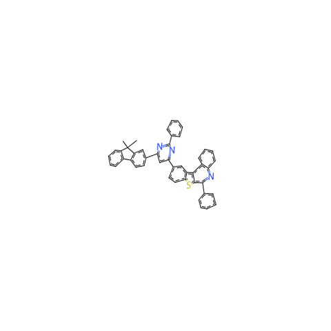 CC1(C)c2ccccc2-c2ccc(-c3cc(-c4ccc5sc6c(-c7ccccc7)nc7ccccc7c6c5c4)nc(-c4ccccc4)n3)cc21